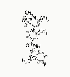 C[C@H]1CN(C(=O)Nc2nn(C)c3cc(F)ccc23)CCN1c1nc(N)nc2c1cnn2C